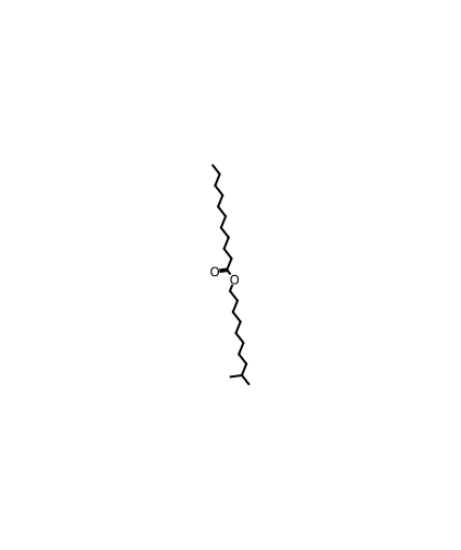 CCCCCCCCCCC(=O)OCCCCCCCCC(C)C